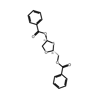 O=C(OC[C@@H]1OC[C@@H](OC(=O)c2ccccc2)S1)c1ccccc1